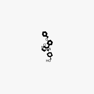 OC[C@H]1CC[C@H](c2nc(-c3cccc(OCc4ccccc4)c3)c3c(Cl)nccn32)CC1